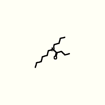 CCCCCCN(CCCC)C(=O)CCC